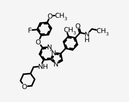 CCNC(=O)c1ccc(-c2cnc3c(NCC4CCOCC4)cc(Oc4ccc(OC)cc4F)nn23)cc1C